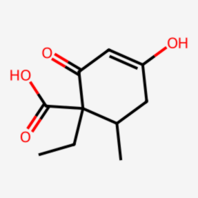 CCC1(C(=O)O)C(=O)C=C(O)CC1C